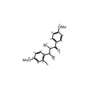 COc1ccc(C(=O)C(Br)C(Br)c2ccc(OC)cc2C)cc1